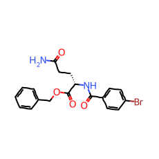 NC(=O)CC[C@H](NC(=O)c1ccc(Br)cc1)C(=O)OCc1ccccc1